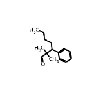 CCCCC(c1ccccc1)C(C)(C)C=O